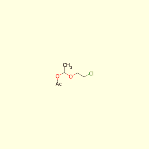 CC(=O)OC(C)OCCCl